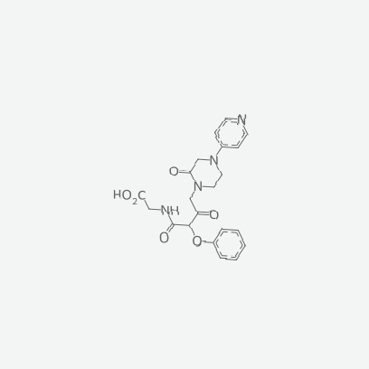 O=C(O)CNC(=O)C(Oc1ccccc1)C(=O)CN1CCN(c2ccncc2)CC1=O